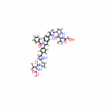 COC(=O)NC(C(=O)N1CCC[C@H]1c1ncc(-c2ccc3c(c2)OC(c2ccccc2)n2c-3cc3cc(-c4cnc([C@@H]5CCCN5C(=O)[C@@H](NC(=O)CO)C(C)C)[nH]4)ccc32)[nH]1)C(C)C